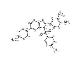 Cc1ccc(S(=O)(=O)n2c(-c3ccc(N)c([N+](=O)[O-])c3)cc3ccc(N4CCN(C)CC4)cc32)cc1